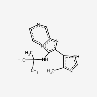 Cc1nc[nH]c1-c1nc2cnccn2c1NC(C)(C)C